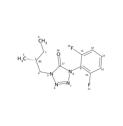 CC[C@@H](C)Cn1nnn(-c2c(F)cccc2F)c1=O